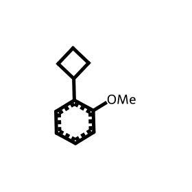 COc1ccccc1C1CCC1